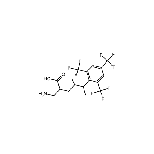 CC(CC(CN)C(=O)O)C(C)c1c(C(F)(F)F)cc(C(F)(F)F)cc1C(F)(F)F